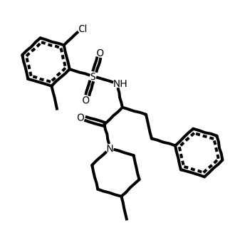 Cc1cccc(Cl)c1S(=O)(=O)NC(CCc1ccccc1)C(=O)N1CCC(C)CC1